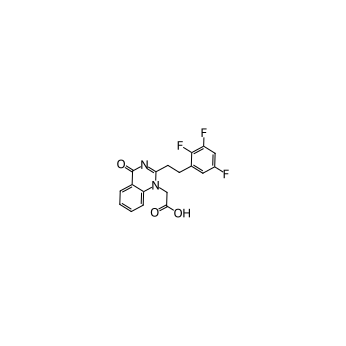 O=C(O)Cn1c(CCc2cc(F)cc(F)c2F)nc(=O)c2ccccc21